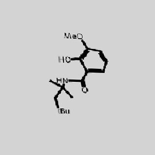 COc1cccc(C(=O)NC(C)(C)CC(C)(C)C)c1O